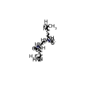 Cc1[nH]cnc1CSCCN/C(=C\[N+](=O)[O-])NCCCN/C(=C/[N+](=O)[O-])NCCSCc1nc[nH]c1C